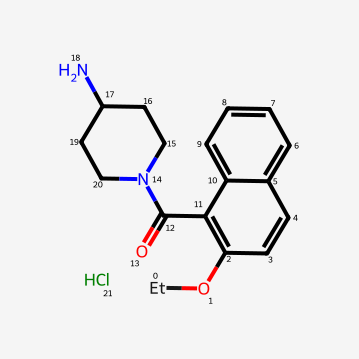 CCOc1ccc2ccccc2c1C(=O)N1CCC(N)CC1.Cl